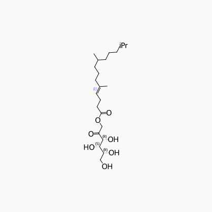 C/C(=C\CCC(=O)OCC(=O)[C@H](O)[C@@H](O)[C@H](O)CO)CCCC(C)CCCC(C)C